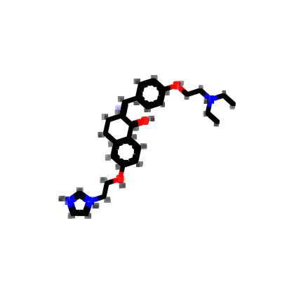 CCN(CC)CCOc1ccc(/C=C2/CCc3cc(OCCn4ccnc4)ccc3C2=O)cc1